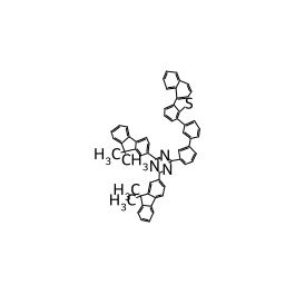 CC1(C)c2ccccc2-c2ccc(-c3nc(-c4cccc(-c5cccc(-c6cccc7c6sc6ccc8ccccc8c67)c5)c4)nc(-c4ccc5c(c4)C(C)(C)c4ccccc4-5)n3)cc21